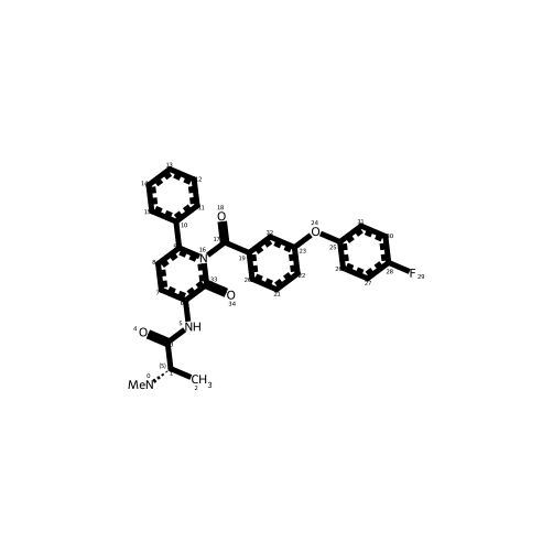 CN[C@@H](C)C(=O)Nc1ccc(-c2ccccc2)n(C(=O)c2cccc(Oc3ccc(F)cc3)c2)c1=O